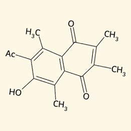 CC(=O)c1c(C)c2c(c(C)c1O)C(=O)C(C)=C(C)C2=O